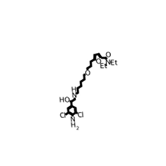 CCN(CC)C(=O)c1ccc(CCCOCCCCCCNCC(O)c2cc(Cl)c(N)c(Cl)c2)o1